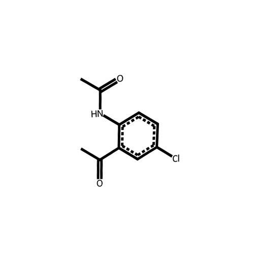 CC(=O)Nc1ccc(Cl)cc1C(C)=O